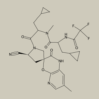 Cc1cnc2c(c1)NC(=O)[C@]1(C[C@@H](C#N)N(C(=O)C(CC3CC3)N(C)C(=O)C(CC3CC3)NC(=O)C(F)(F)F)C1)O2